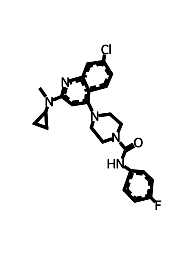 CN(c1cc(N2CCN(C(=O)Nc3ccc(F)cc3)CC2)c2ccc(Cl)cc2n1)C1CC1